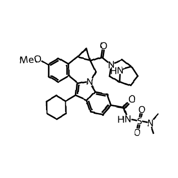 COc1ccc2c(c1)C1CC1(C(=O)N1CC3CCC(C1)N3)Cn1c-2c(C2CCCCC2)c2ccc(C(=O)NS(=O)(=O)N(C)C)cc21